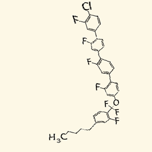 CCCCCc1ccc(C(F)(F)Oc2ccc(-c3ccc(-c4ccc(-c5ccc(Cl)c(F)c5)c(F)c4)c(F)c3)c(F)c2)c(F)c1